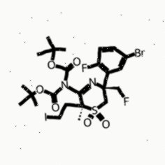 CC(C)(C)OC(=O)N(C(=O)OC(C)(C)C)C1=N[C@](CF)(c2cc(Br)ccc2F)CS(=O)(=O)[C@@]1(C)CCI